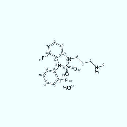 CNCCCN1c2cccc(F)c2N(c2ccccc2F)S1(=O)=O.Cl